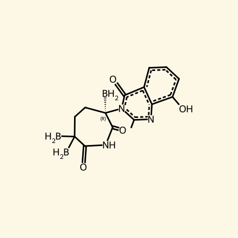 BC1(B)CC[C@@](B)(n2c(C)nc3c(O)cccc3c2=O)C(=O)NC1=O